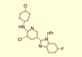 CCCn1c(-c2cnc(Nc3ccc(Cl)cc3)c(Cl)c2)nc2ccc(F)cc21